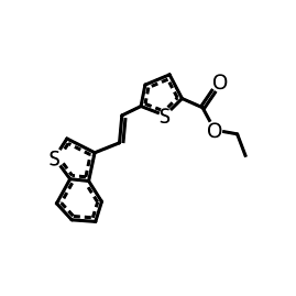 CCOC(=O)c1ccc(C=Cc2csc3ccccc23)s1